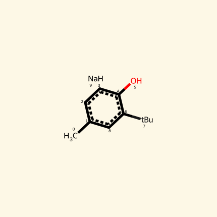 Cc1ccc(O)c(C(C)(C)C)c1.[NaH]